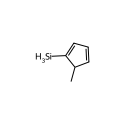 CC1C=CC=C1[SiH3]